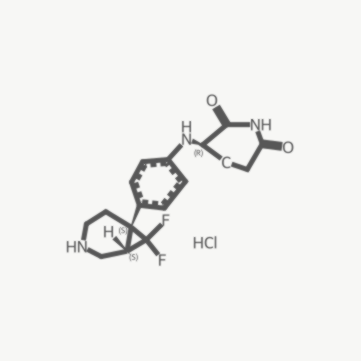 Cl.O=C1CC[C@@H](Nc2ccc([C@]34CCNC[C@H]3C4(F)F)cc2)C(=O)N1